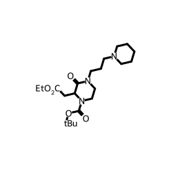 CCOC(=O)CC1C(=O)N(CCCN2CCCCC2)CCN1C(=O)OC(C)(C)C